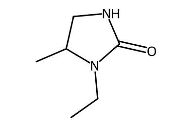 CCN1C(=O)NCC1C